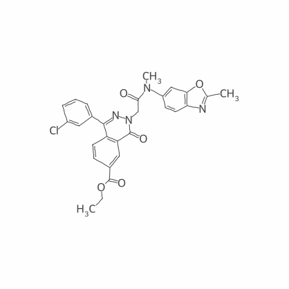 CCOC(=O)c1ccc2c(-c3cccc(Cl)c3)nn(CC(=O)N(C)c3ccc4nc(C)oc4c3)c(=O)c2c1